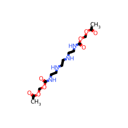 CC(=O)OCOC(=O)NCCNCCNCCNC(=O)OCOC(C)=O